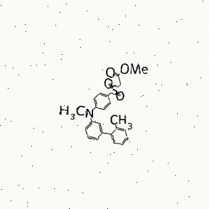 COC(=O)CS(=O)(=O)c1ccc(N(C)c2cccc(-c3ccccc3C)c2)cc1